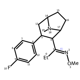 CC/C(=N\OC)C1C(c2ccc(F)cc2)CC2CCC1N2C